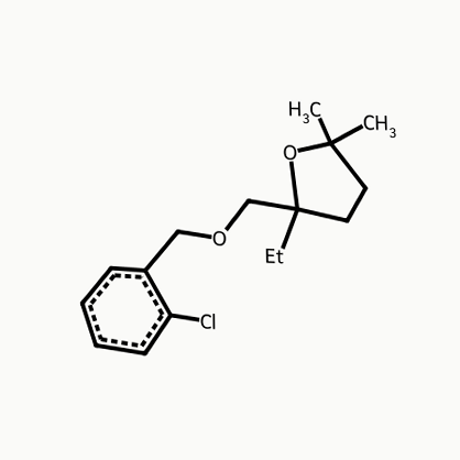 CCC1(COCc2ccccc2Cl)CCC(C)(C)O1